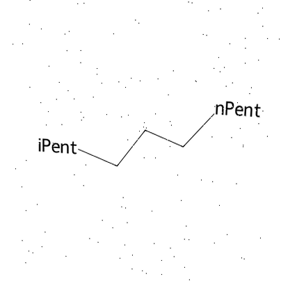 [CH2]CCCCCCCC(C)CC[CH2]